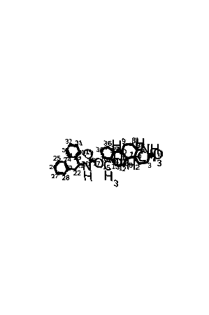 C[C@]12CCC(=O)N[C@@H]1CC[C@@H]1[C@@H]2CC[C@]2(C)[C@@H](OC(=O)NC(Cc3ccccc3)c3ccccc3)CC[C@@H]12